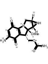 CO[C@@]12[C@H](COC(N)=O)C3=C(C(=O)C=C(N)C3=O)N1C[C@@H]1N[C@@H]12